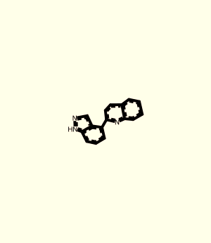 c1ccc2nc(-c3cccc4[nH]ncc34)ccc2c1